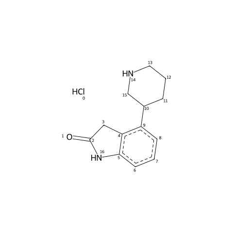 Cl.O=C1Cc2c(cccc2C2CCCNC2)N1